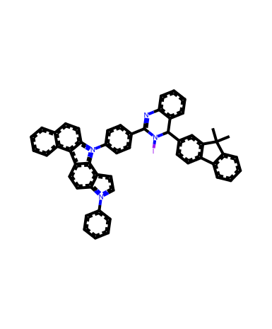 CC1(C)c2ccccc2-c2ccc(C3c4ccccc4N=C(c4ccc(-n5c6ccc7ccccc7c6c6ccc7c(ccn7-c7ccccc7)c65)cc4)N3I)cc21